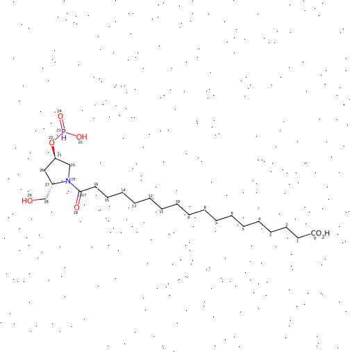 O=C(O)CCCCCCCCCCCCCCCCC(=O)N1C[C@H](O[PH](=O)O)C[C@H]1CO